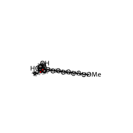 COCCOCCOCCOCCOCCOCCOCCOCCOc1ccc2c3c1O[C@H]1[C@@H](O)CC[C@@]4(O)C(C2)N(CC2CCC2)CC[C@]314